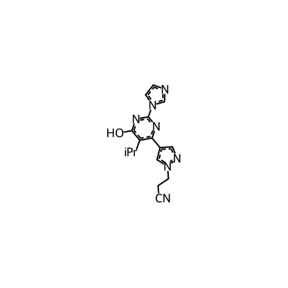 CC(C)c1c(O)nc(-n2ccnc2)nc1-c1cnn(CCC#N)c1